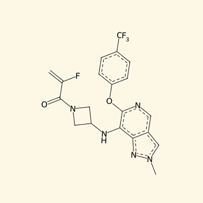 C=C(F)C(=O)N1CC(Nc2c(Oc3ccc(C(F)(F)F)cc3)ncc3cn(C)nc23)C1